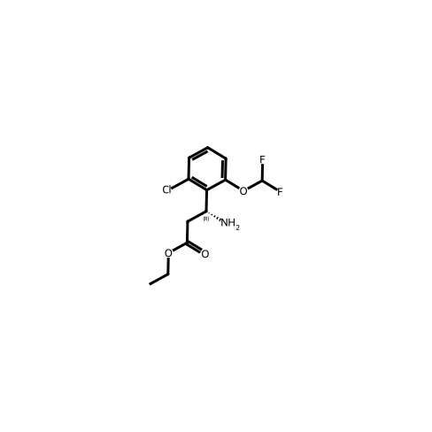 CCOC(=O)C[C@@H](N)c1c(Cl)cccc1OC(F)F